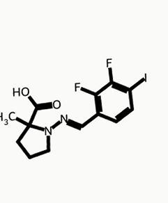 CC1(C(=O)O)CCCN1N=Cc1ccc(I)c(F)c1F